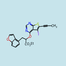 CC#Cc1sc2ncnc(OC(Cc3cccc4occc34)C(=O)OCC)c2c1I